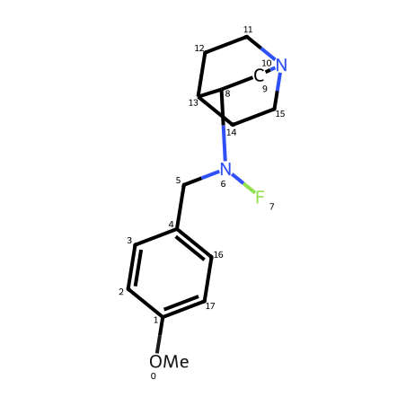 COc1ccc(CN(F)C2CN3CCC2CC3)cc1